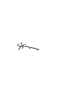 CCCCCCCCOC(F)(F)C(F)F